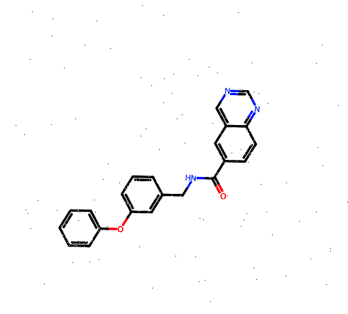 O=C(NCc1cccc(Oc2ccccc2)c1)c1ccc2ncncc2c1